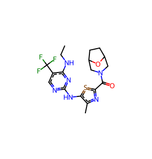 CCNc1nc(Nc2sc(C(=O)N3CC4CCC(C3)O4)nc2C)ncc1C(F)(F)F